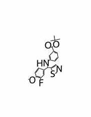 COc1ccc(C(Nc2cccc(C(=O)OC(C)(C)C)c2)c2cncs2)cc1F